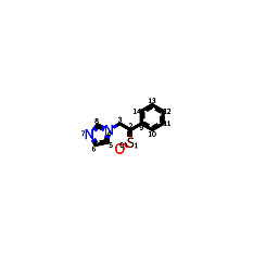 O=S=C(Cn1ccnc1)c1ccccc1